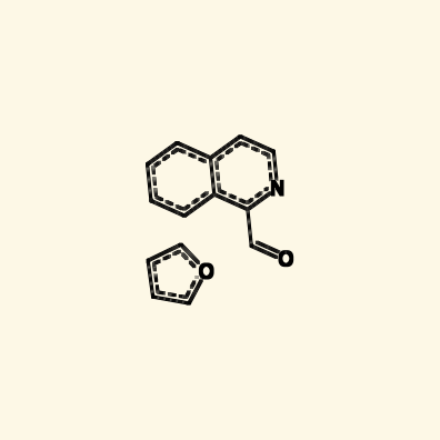 O=Cc1nccc2ccccc12.c1ccoc1